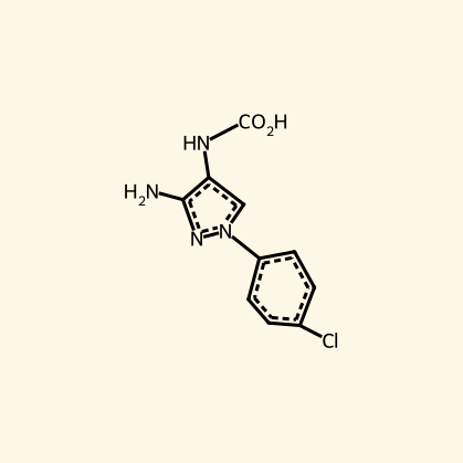 Nc1nn(-c2ccc(Cl)cc2)cc1NC(=O)O